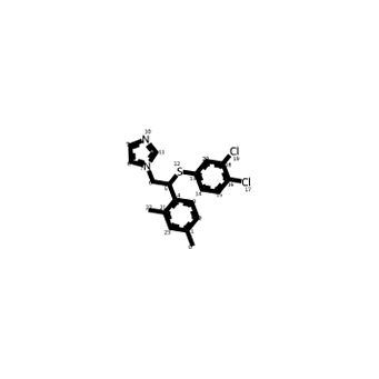 Cc1ccc(C(Cn2ccnc2)Sc2ccc(Cl)c(Cl)c2)c(C)c1